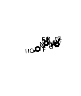 COc1c(NC(=O)c2cccc(C(F)(F)F)n2)cc2c(F)n(C3CCC(CO)CC3)nc2c1F